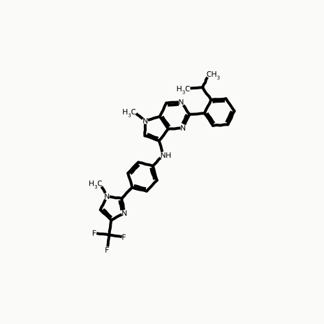 CC(C)c1ccccc1-c1ncc2c(n1)c(Nc1ccc(-c3nc(C(F)(F)F)cn3C)cc1)cn2C